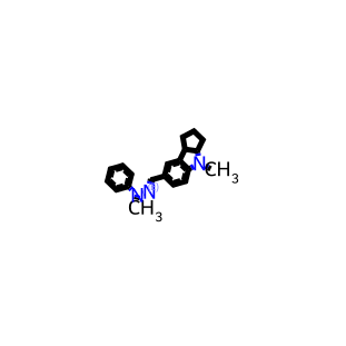 CN(/N=C/c1ccc2c(c1)C1CCCC1N2C)c1ccccc1